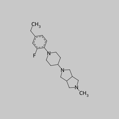 CCc1ccc(N2CCC(N3CC4CN(C)CC4C3)CC2)c(F)c1